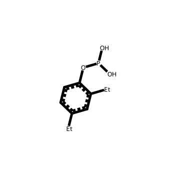 CCc1ccc(OP(O)O)c(CC)c1